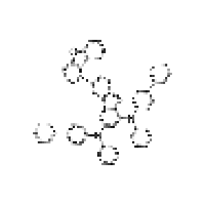 c1ccc(-c2ccc(N(c3ccccc3)c3cc(N(c4ccccc4)c4ccc(-c5ccccc5)cc4)c4sc5ccc(-c6cccc7oc8ccccc8c67)cc5c4c3)cc2)cc1